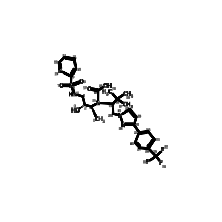 C[C@@H]([C@H](O)CNS(=O)(=O)c1ccccn1)N(C(=O)O)[C@H](Cn1ccc(-c2ccc(C(F)(F)F)cc2)n1)C(C)(C)C